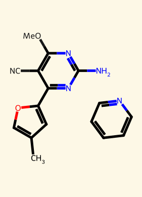 COc1nc(N)nc(-c2cc(C)co2)c1C#N.c1ccncc1